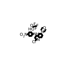 O=C(O)C(F)(F)F.O=[N+]([O-])c1ccc(Nc2cc(Cl)nc3ccc(N4CCOCC4)cc23)cc1